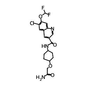 NC(=O)COC1CCC(NC(=O)c2cnc3cc(OC(F)F)c(Cl)cc3c2)CC1